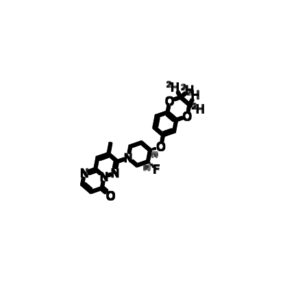 [2H]C1([2H])Oc2ccc(O[C@H]3CCN(c4nn5c(=O)ccnc5cc4C)C[C@H]3F)cc2OC1([2H])[2H]